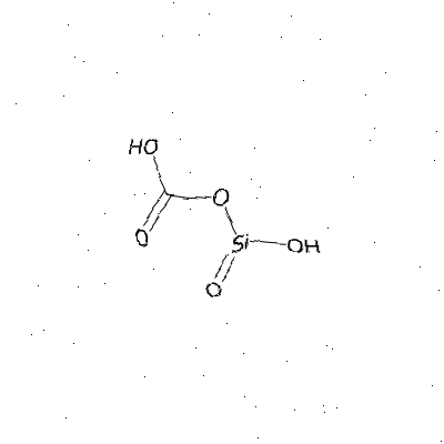 O=C(O)O[Si](=O)O